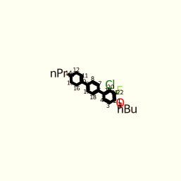 CCCCOc1ccc(-c2ccc(C3=CCC(CCC)CC3)cc2)c(Cl)c1F